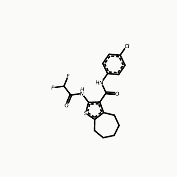 O=C(Nc1ccc(Cl)cc1)c1c(NC(=O)C(F)F)sc2c1CCCCC2